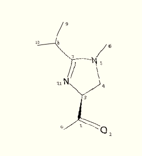 CC(=O)[C@@H]1CN(C)C(C(C)C)=N1